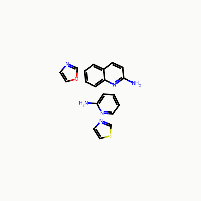 Nc1ccc2ccccc2n1.Nc1ccccn1.c1cocn1.c1cscn1